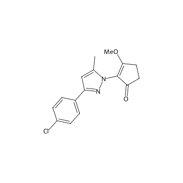 COC1=C(n2nc(-c3ccc(Cl)cc3)cc2C)C(=O)CC1